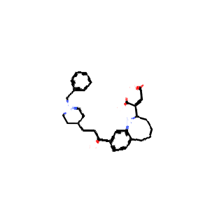 O=C(O)C=C(C(=O)O)C1CCCCc2ccc(C(=O)CCC3CCN(Cc4ccccc4)CC3)cc2N1